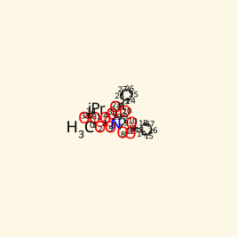 CC(OC(=O)ON1C(=O)[C@H](OC(=O)c2ccccc2)[C@@H](OC(=O)c2ccccc2)C1=O)OC(=O)C(C)C